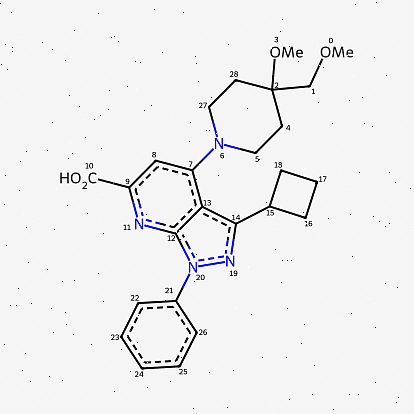 COCC1(OC)CCN(c2cc(C(=O)O)nc3c2c(C2CCC2)nn3-c2ccccc2)CC1